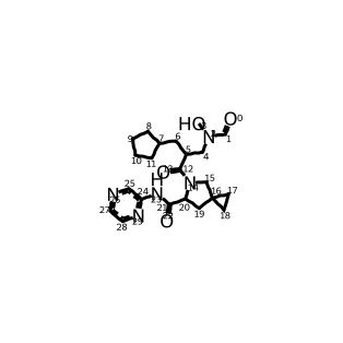 O=CN(O)CC(CC1CCCC1)C(=O)N1CC2(CC2)CC1C(=O)Nc1cnccn1